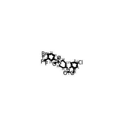 O=C1OCc2cc(Cl)ccc2N1C1CCN(S(=O)(=O)c2ccc(Br)c(C(F)(F)F)c2)CC1